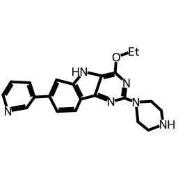 CCOc1nc(N2CCNCC2)nc2c1[nH]c1cc(-c3cccnc3)ccc12